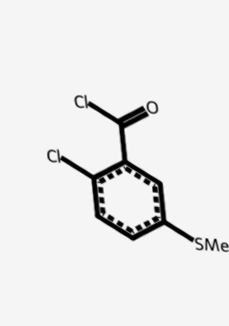 CSc1ccc(Cl)c(C(=O)Cl)c1